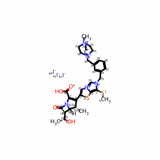 CSc1c2sc(C3=C(C(=O)O)N4C(=O)[C@H]([C@@H](C)O)[C@H]4[C@H]3C)c[n+]2cn1Cc1cccc(C[N+]23CC[N+](C)(CC2)CC3)c1.[I-].[I-].[I-]